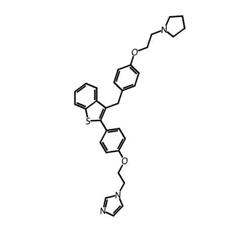 c1ccc2c(Cc3ccc(OCCN4CCCC4)cc3)c(-c3ccc(OCCn4ccnc4)cc3)sc2c1